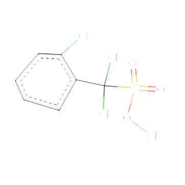 O=S(=O)(OCl)C(Cl)(Cl)c1ccccc1Cl